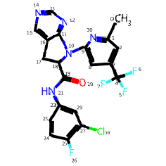 Cc1cc(C(F)(F)F)cc(N2c3ncncc3CC2C(=O)Nc2ccc(F)c(Cl)c2)n1